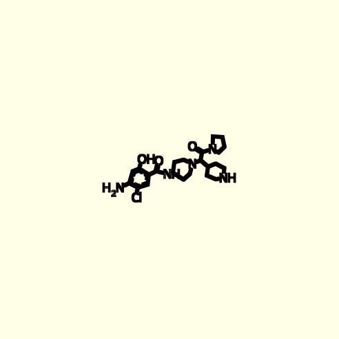 Nc1cc(O)c(C(=O)NC2CCN(C(C(=O)N3CCCC3)C3CCNCC3)CC2)cc1Cl